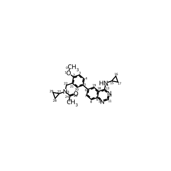 COc1ccc(-c2ccc3ncnc(NC4CC4)c3c2)cc1CN(C(C)=O)C1CC1